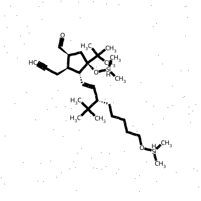 C#CC[C@@H]1[C@@H](C=C[C@H](CCCCCO[SiH](C)C)C(C)(C)C)[C@@](O[SiH](C)C)(C(C)(C)C)C[C@@H]1C=O